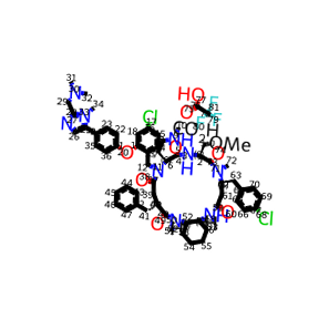 COC[C@@H]1NC(=O)[C@H](CCNC(=O)O)N(Cc2ccc(Cl)cc2Oc2ccc(-c3cnc(CN(C)C)n3C)cc2)C(=O)C[C@@H](Cc2ccccc2)C(=O)N(C)[C@H]2CCCC[C@@H]2NC(=O)C[C@H](Cc2ccc(Cl)cc2)N(C)C1=O.O=C(O)C(F)(F)F